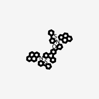 c1cc2ccc3ccc(N(c4ccc5c(c4)c4ccccc4c4cc6c(cc54)oc4c(N(c5ccc7ccc8cccc9ccc5c7c89)c5cccc7c5sc5ccccc57)cccc46)c4cccc5c4sc4ccccc45)c4ccc(c1)c2c34